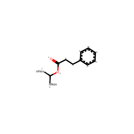 CCCCCCCCCC(CCCCCC)OC(=O)CCc1ccccc1